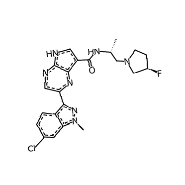 C[C@H](CN1CC[C@@H](F)C1)NC(=O)c1c[nH]c2ncc(-c3nn(C)c4cc(Cl)ccc34)nc12